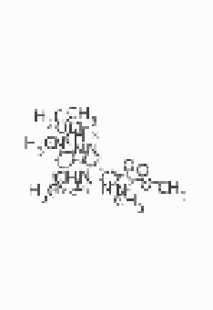 CCOC(=O)c1cn(C)c2ncc(-c3cnc4[nH]c5c(N(C)C(=O)OC(C)(C)C)cc(F)c(F)c5c4c3N3CCC4(CC4N(C)C)C3)cc2c1=O